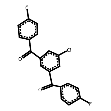 O=C(c1ccc(F)cc1)c1cc(Cl)cc(C(=O)c2ccc(F)cc2)c1